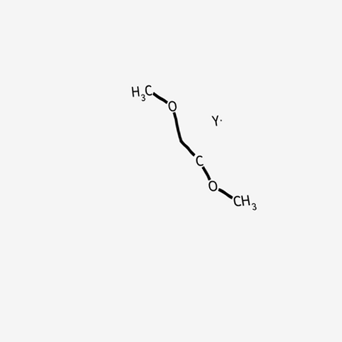 COCCOC.[Y]